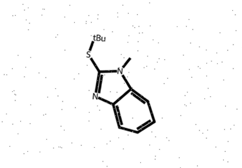 Cn1c(SC(C)(C)C)nc2ccccc21